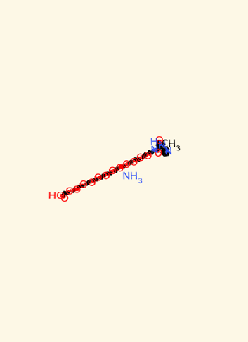 CN1C(=O)C[C@H](C(=O)NCCOCCOCCOCCOCCOCCOCCOCCOCCOCCOCCOCCOCCC(=O)O)[C@H]1c1cccnc1.N